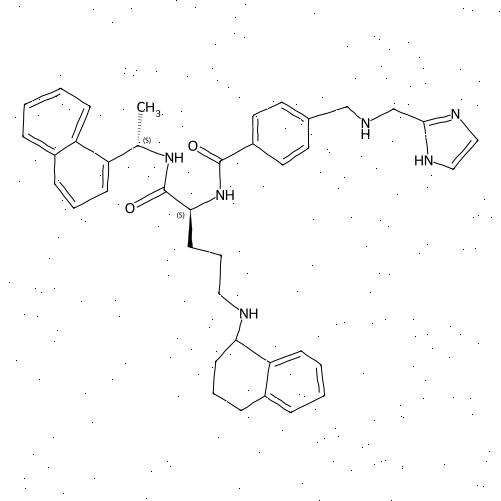 C[C@H](NC(=O)[C@H](CCCNC1CCCc2ccccc21)NC(=O)c1ccc(CNCc2ncc[nH]2)cc1)c1cccc2ccccc12